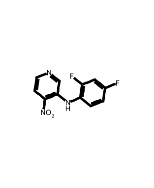 O=[N+]([O-])c1ccncc1Nc1ccc(F)cc1F